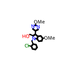 COc1ccc2c(c1)c(-c1cnc(OC)nc1)c(CO)n2Cc1ccccc1Cl